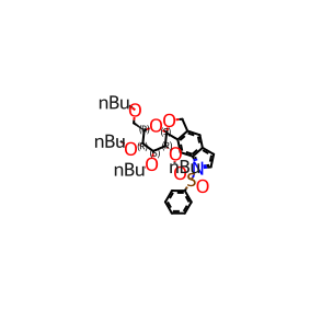 CCCCOC[C@H]1O[C@]2(OCc3cc4ccn(S(=O)(=O)c5ccccc5)c4cc32)[C@H](OCCCC)[C@@H](OCCCC)[C@@H]1OCCCC